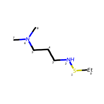 CCSNCCCN(C)C